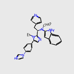 CCn1c(-c2ccc(-n3ccnc3)cc2)cnc1C(Cc1ccncc1)N(C=O)c1cc2ccccc2[nH]1